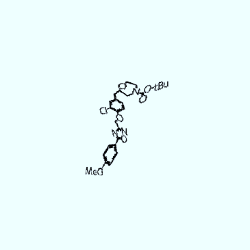 COc1ccc(-c2nc(COc3ccc(CC4CN(C(=O)OC(C)(C)C)CCO4)cc3Cl)no2)cc1